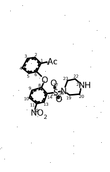 CC(=O)c1ccccc1Oc1ccc([N+](=O)[O-])cc1S(=O)(=O)N1CCNCC1